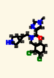 Cn1cnc(C(=O)N(Cc2cccc(Cl)c2Cl)CC2C3CNCC32)c1